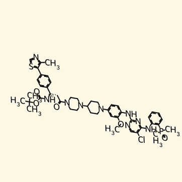 COc1cc(N2CCC(N3CCN(C(=O)C[C@H](NC(=O)OC(C)(C)C)c4ccc(-c5scnc5C)cc4)CC3)CC2)ccc1Nc1ncc(Cl)c(Nc2ccccc2P(C)(C)=O)n1